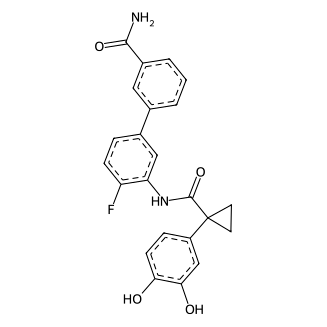 NC(=O)c1cccc(-c2ccc(F)c(NC(=O)C3(c4ccc(O)c(O)c4)CC3)c2)c1